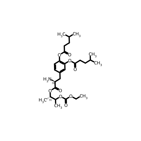 CCOC(=O)OC(C)[C@H](C)OC(=O)[C@@H](N)Cc1ccc(OC(=O)CCC(C)C)c(OC(=O)CCC(C)C)c1